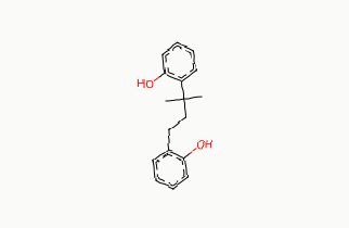 CC(C)(CCc1ccccc1O)c1ccccc1O